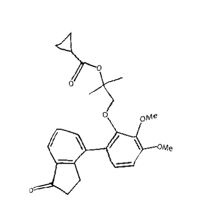 COc1ccc(-c2cccc3c2CCC3=O)c(OCC(C)(C)OC(=O)C2CC2)c1OC